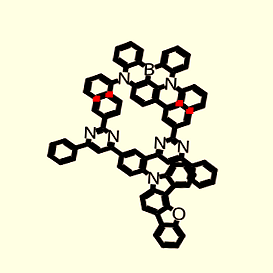 c1ccc(-c2cc(-c3ccc(-n4c5ccccc5c5c6oc7ccccc7c6ccc54)c(-c4cc(-c5ccccc5)nc(-c5cccc(-c6ccc7c8c6N(c6ccccc6)c6ccccc6B8c6ccccc6N7c6ccccc6)c5)n4)c3)nc(-c3ccccc3)n2)cc1